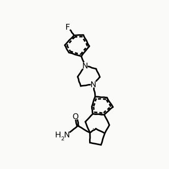 NC(=O)C12[CH]C(CC1)Cc1ccc(N3CCN(c4ccc(F)cc4)CC3)cc1C2